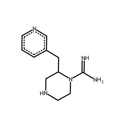 N=C(N)N1CCNCC1Cc1cccnc1